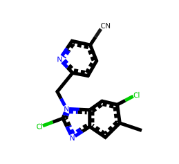 Cc1cc2nc(Cl)n(Cc3ccc(C#N)cn3)c2cc1Cl